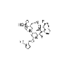 N#CCC1CN(c2nc(OCC3CCCN3C3CCC3)nc3c(F)c(-c4cccc5ccc(F)c(Cl)c45)ncc23)CCN1C(=O)O